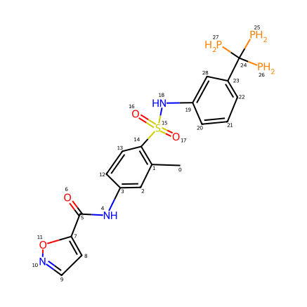 Cc1cc(NC(=O)c2ccno2)ccc1S(=O)(=O)Nc1cccc(C(P)(P)P)c1